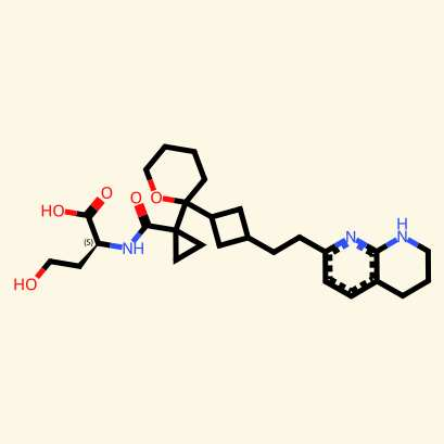 O=C(O)[C@H](CCO)NC(=O)C1(C2(C3CC(CCc4ccc5c(n4)NCCC5)C3)CCCCO2)CC1